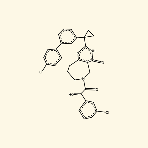 O=C([C@H](O)c1cccc(Cl)c1)N1CCCc2nc(C3(c4cccc(-c5ccc(Cl)cc5)c4)CC3)[nH]c(=O)c2C1